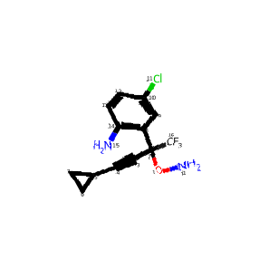 NOC(C#CC1CC1)(c1cc(Cl)ccc1N)C(F)(F)F